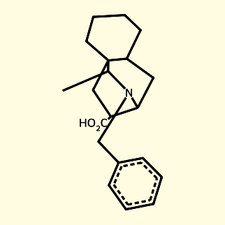 CC1N(Cc2ccccc2)C2CC3CCCCC31CC2C(=O)O